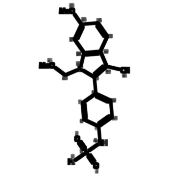 CCS(=O)(=O)Nc1ccc(-c2c(C#N)c3ccc(OC)cc3n2COC)cc1